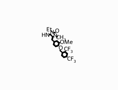 CCN1C(=N)C(=Cc2ccc(OCc3ccc(C(F)(F)F)cc3C(F)(F)F)c(OC)c2)N(C)C1=O